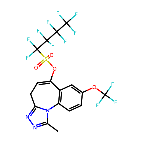 Cc1nnc2n1-c1ccc(OC(F)(F)F)cc1C(OS(=O)(=O)C(F)(F)C(F)(F)C(F)(F)C(F)(F)F)=CC2